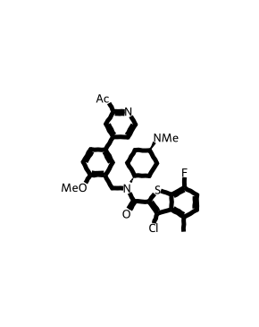 CN[C@H]1CC[C@H](N(Cc2cc(-c3ccnc(C(C)=O)c3)ccc2OC)C(=O)c2sc3c(F)ccc(C)c3c2Cl)CC1